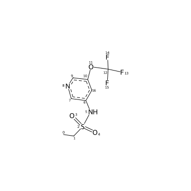 CCS(=O)(=O)Nc1cncc(OC(F)(F)F)c1